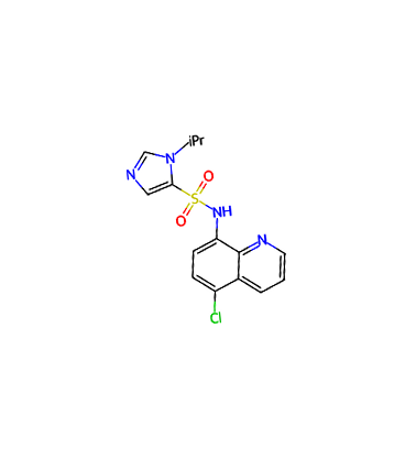 CC(C)n1cncc1S(=O)(=O)Nc1ccc(Cl)c2cccnc12